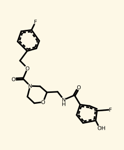 O=C(NCC1CN(C(=O)OCc2ccc(F)cc2)CCO1)c1ccc(O)c(F)c1